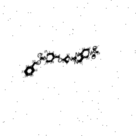 C[C@@H]1CC(COC2CN(c3ncc4c(n3)CCN(S(C)(=O)=O)C4)C2)CCN1C(=O)OCc1ccccc1